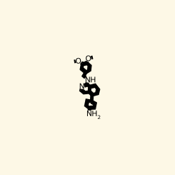 COc1ccc(CNc2nccc3c(-c4ccc(N)cc4)cccc23)cc1OC